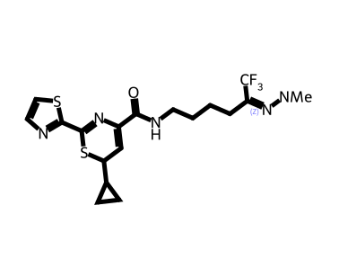 CN/N=C(/CCCCNC(=O)C1=CC(C2CC2)SC(c2nccs2)=N1)C(F)(F)F